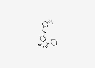 O=C(c1ccccc1)c1cc(/C=C/c2ccc(C(F)(F)F)o2)ccc1[N+](=O)[O-]